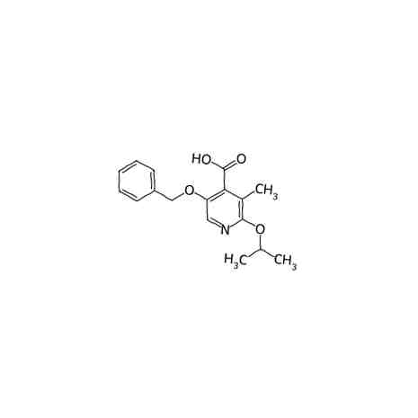 Cc1c(OC(C)C)ncc(OCc2ccccc2)c1C(=O)O